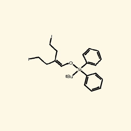 CC(C)(C)[Si](OC=C(CCI)CCI)(c1ccccc1)c1ccccc1